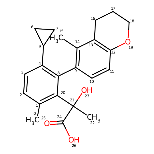 Cc1ccc(C2CC2)c(-c2ccc3c(c2C)CCCO3)c1C(C)(O)C(=O)O